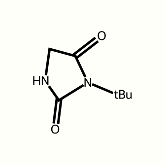 CC(C)(C)N1C(=O)CNC1=O